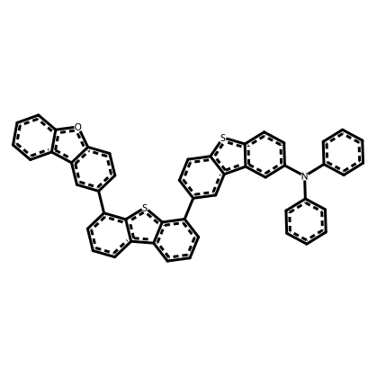 c1ccc(N(c2ccccc2)c2ccc3sc4ccc(-c5cccc6c5sc5c(-c7ccc8oc9ccccc9c8c7)cccc56)cc4c3c2)cc1